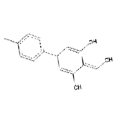 Cc1ccc(C2C=C(O)C(=CO)C(O)=C2)cc1